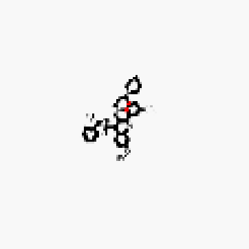 CC(C)Oc1ccc2c(C(=O)N[C@H](c3ccccc3)C(F)(F)F)c(CN3CCC(N4CCCCC4)CC3)c(-c3cccc(C(F)(F)F)c3)nc2c1